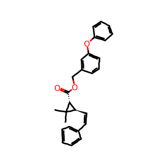 CC1(C)[C@H](/C=C\c2ccccc2)[C@H]1C(=O)OCc1cccc(Oc2ccccc2)c1